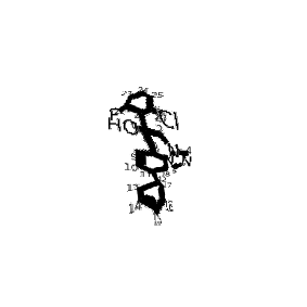 OC(Cn1cncn1)(c1ccc(-c2ccccc2)cc1)c1c(F)cccc1Cl